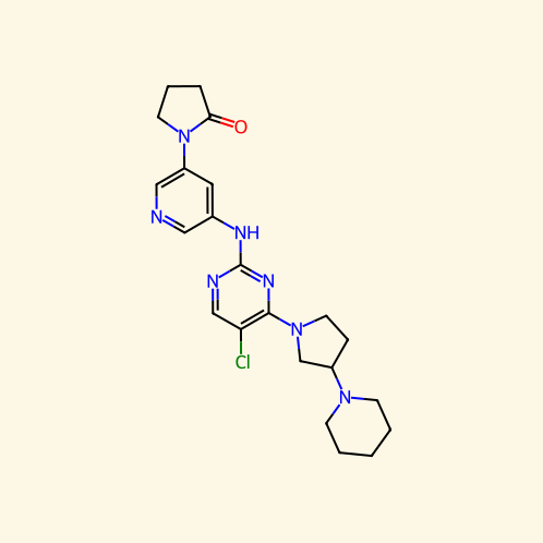 O=C1CCCN1c1cncc(Nc2ncc(Cl)c(N3CCC(N4CCCCC4)C3)n2)c1